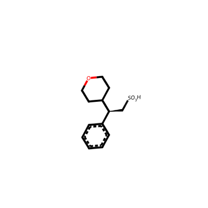 O=S(=O)(O)C[C@@H](c1ccccc1)C1CCOCC1